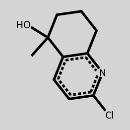 CC1(O)CCCc2nc(Cl)ccc21